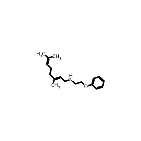 CC(C)=CCC/C(C)=C/CNCCOc1ccccc1